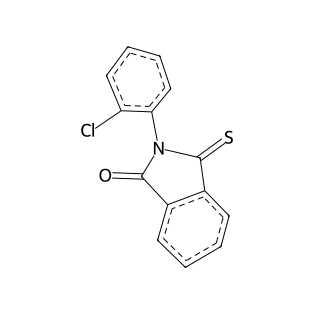 O=C1c2ccccc2C(=S)N1c1ccccc1Cl